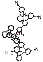 Cc1cc(-c2ccc3c(c2)c2ccccc2n3-c2ccc(-c3ccc(-c4cc(C#N)ccc4-n4c5c(c6cc(C#N)ccc64)CCC=C5)cc3)cc2)cc2c1c1ccccc1n2-c1ccc(C#N)cc1-c1ccc(C2=CC(C)C(n3c4ccccc4c4ccccc43)C=C2)cc1